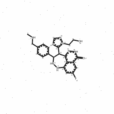 CNCc1ccc(C2NNc3cc(F)cc4c(=O)[nH]nc(c34)C2c2ncnn2CCO)cc1